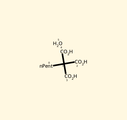 CCCCCC(C(=O)O)(C(=O)O)C(=O)O.O